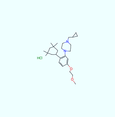 COCCOc1ccc(C2CC(C)(C)CC(C)(C)C2)c(N2CCN(CC3CC3)CC2)c1.Cl